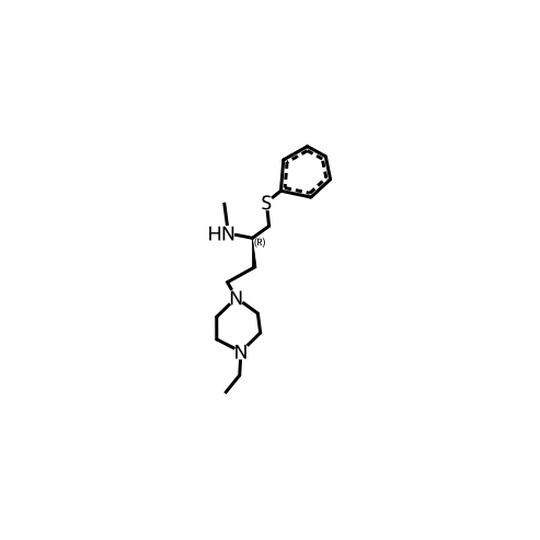 CCN1CCN(CC[C@H](CSc2ccccc2)NC)CC1